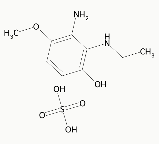 CCNc1c(O)ccc(OC)c1N.O=S(=O)(O)O